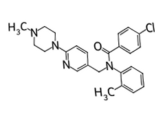 Cc1ccccc1N(Cc1ccc(N2CCN(C)CC2)nc1)C(=O)c1ccc(Cl)cc1